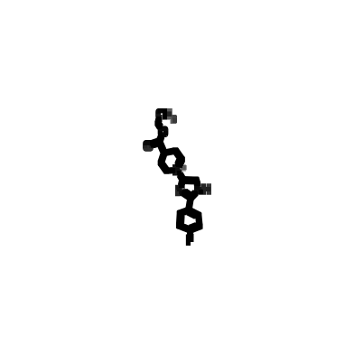 CCOC(=O)C1CC=[N+](c2c[nH]c(-c3ccc(F)cc3)n2)CC1